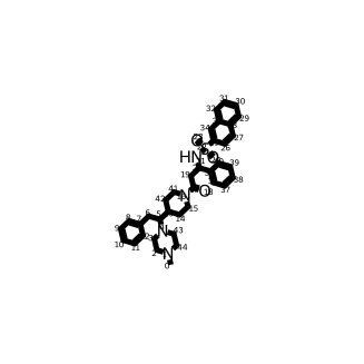 CN1CCN(C(Cc2ccccc2)C2CCN(C(=O)CC(NS(=O)(=O)c3ccc4ccccc4c3)c3ccccc3)CC2)CC1